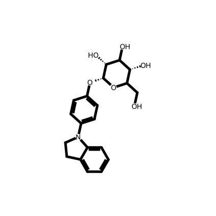 OCC1O[C@H](Oc2ccc(N3CCc4ccccc43)cc2)[C@H](O)C(O)[C@@H]1O